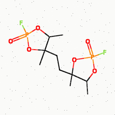 CC1OP(=O)(F)OC1(C)CCC1(C)OP(=O)(F)OC1C